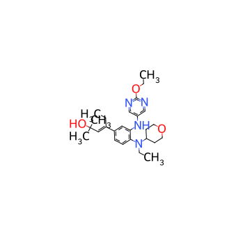 CCOc1ncc(Nc2cc(/C(=C/C(C)(C)O)CC)ccc2N(CC)C2CCOCC2)cn1